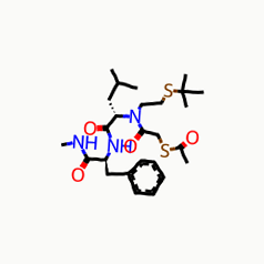 CNC(=O)[C@H](Cc1ccccc1)NC(=O)[C@H](CC(C)C)N(CCSC(C)(C)C)C(=O)CSC(C)=O